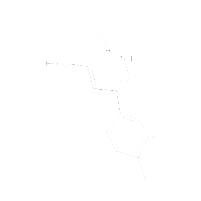 Cc1ccc(-c2c[nH]c(=O)c(C(=O)O)c2)cc1